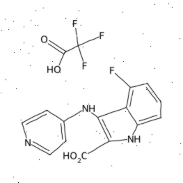 O=C(O)C(F)(F)F.O=C(O)c1[nH]c2cccc(F)c2c1Nc1ccncc1